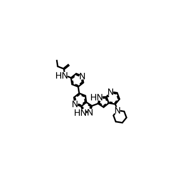 C=C(CC)Nc1cncc(-c2cnc3[nH]nc(-c4cc5c(N6CCCCC6)ccnc5[nH]4)c3c2)c1